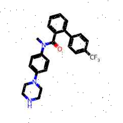 CN(C(=O)c1ccccc1-c1ccc(C(F)(F)F)cc1)c1ccc(N2CCNCC2)cc1